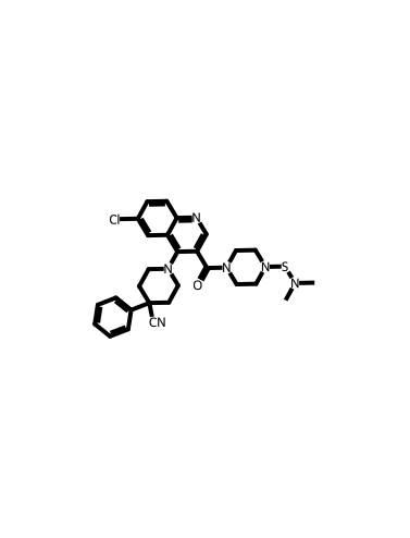 CN(C)SN1CCN(C(=O)c2cnc3ccc(Cl)cc3c2N2CCC(C#N)(c3ccccc3)CC2)CC1